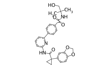 CC(C)(CO)NS(=O)(=O)c1ccc(-c2cccc(NC(=O)C3(c4ccc5c(c4)OCO5)CC3)n2)cc1